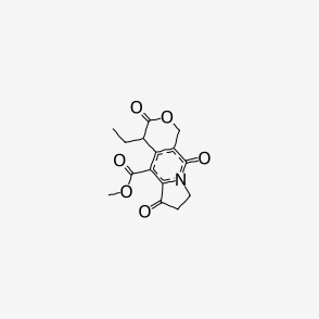 CCC1C(=O)OCc2c1c(C(=O)OC)c1n(c2=O)CCC1=O